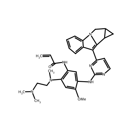 C=CC(=O)Nc1cc(Nc2nccc(-c3c4n(c5ccccc35)CC3CC43)n2)c(OC)cc1N(C)CCN(C)C